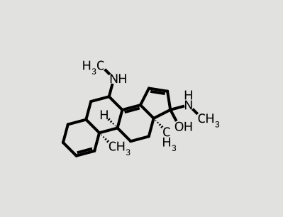 CNC1CC2CCC=C[C@]2(C)[C@@H]2CC[C@@]3(C)C(=C12)C=CC3(O)NC